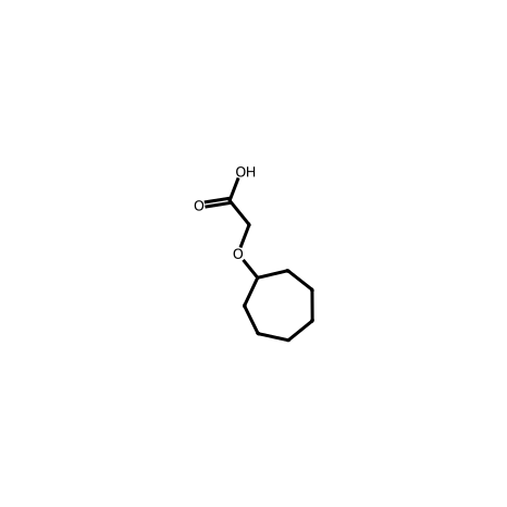 O=C(O)COC1CCCCCC1